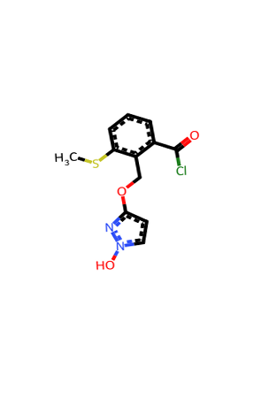 CSc1cccc(C(=O)Cl)c1COc1ccn(O)n1